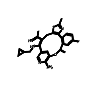 CC(=N)/C1=C(\NCC2CC2)c2cnc(N)c(c2)OC(C)c2cc(F)ccc2-c2nc(C)sc2C1